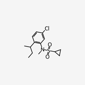 CCC(C)c1ccc(Cl)cc1N(C)S(=O)(=O)C1CC1